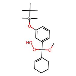 COC(OO)(C1=CCCCC1)c1cccc(O[Si](C)(C)C(C)(C)C)c1